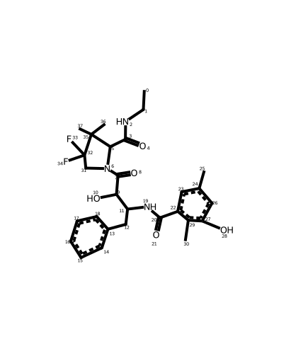 CCNC(=O)C1N(C(=O)C(O)C(Cc2ccccc2)NC(=O)c2cc(C)cc(O)c2C)CC(F)(F)C1(C)C